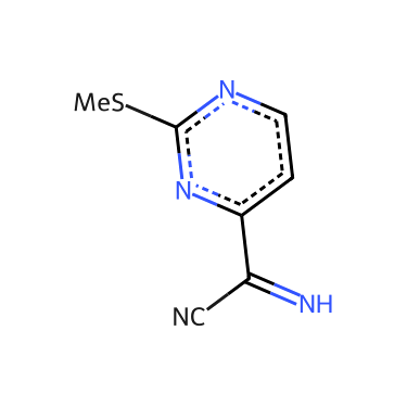 CSc1nccc(C(=N)C#N)n1